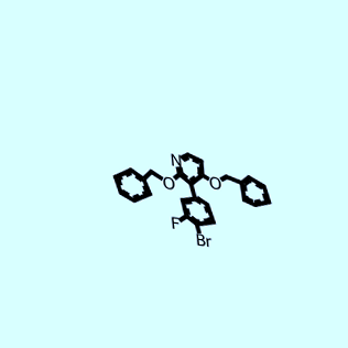 Fc1cc(-c2c(OCc3ccccc3)ccnc2OCc2ccccc2)ccc1Br